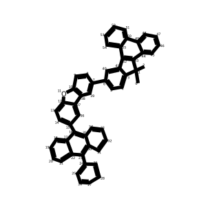 CC1(C)c2ccc(-c3ccc4oc5ccc(-c6c7ccccc7c(-c7ccccc7)c7ccccc67)cc5c4c3)cc2-c2c1c1ccccc1c1ccccc21